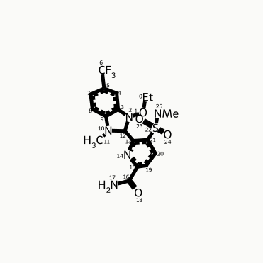 CCON1c2cc(C(F)(F)F)ccc2N(C)C1c1nc(C(N)=O)ccc1S(=O)(=O)NC